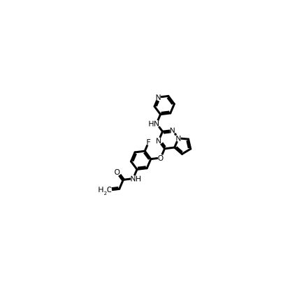 C=CC(=O)Nc1ccc(F)c(Oc2nc(Nc3cccnc3)nn3cccc23)c1